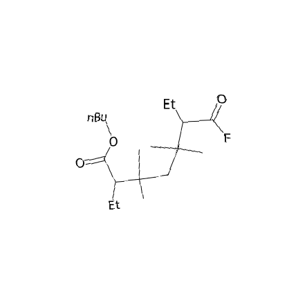 CCCCOC(=O)C(CC)C(C)(C)CC(C)(C)C(CC)C(=O)F